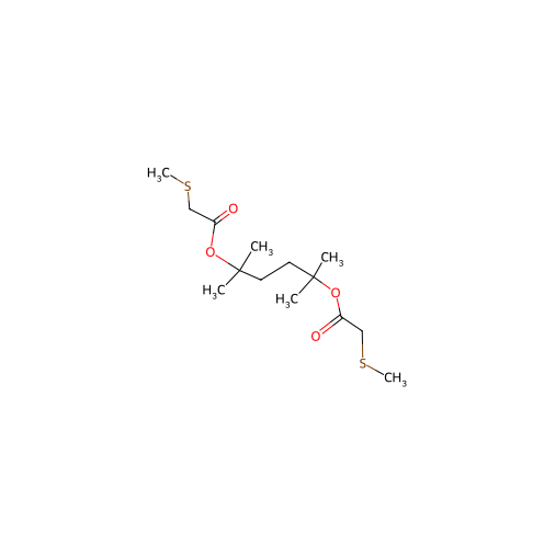 CSCC(=O)OC(C)(C)CCC(C)(C)OC(=O)CSC